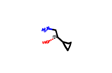 NC[C@@H](O)C1CC1